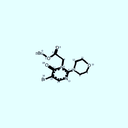 CCCCOC(=O)Cn1c(N2CCOCC2)ncc(Br)c1=O